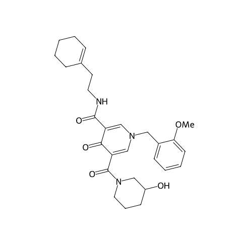 COc1ccccc1Cn1cc(C(=O)NCCC2=CCCCC2)c(=O)c(C(=O)N2CCCC(O)C2)c1